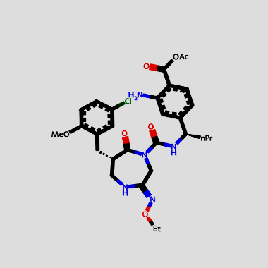 CCC[C@@H](NC(=O)N1C/C(=N/OCC)NC[C@H](Cc2cc(Cl)ccc2OC)C1=O)c1ccc(C(=O)OC(C)=O)c(N)c1